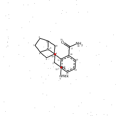 CCCCCCNCCN1C2CCC1CC(c1ccccc1C(N)=O)C2